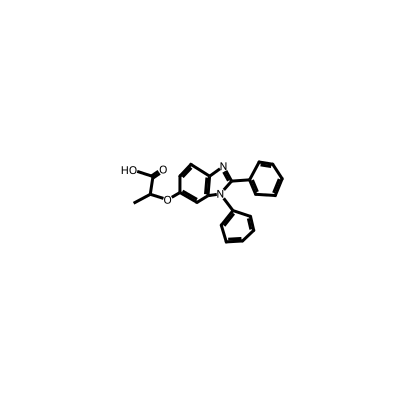 CC(Oc1ccc2nc(-c3ccccc3)n(-c3ccccc3)c2c1)C(=O)O